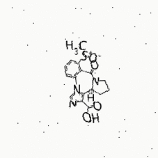 C[S+]([O-])c1cccc2c1C(=O)N1CCC[C@H]1c1c(C(=O)O)ncn1-2